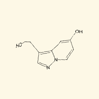 OCc1cnn2ccc(O)cc12